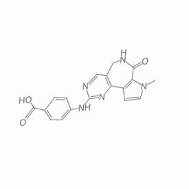 Cn1ccc2c1C(=O)NCc1cnc(Nc3ccc(C(=O)O)cc3)nc1-2